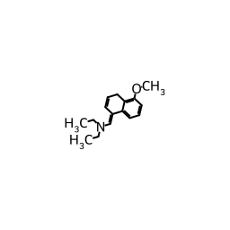 CCN(C=C1C=CCc2c(OC)cccc21)CC